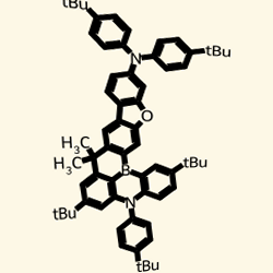 CC(C)(C)c1ccc(N(c2ccc(C(C)(C)C)cc2)c2ccc3c(c2)oc2cc4c(cc23)C(C)(C)c2cc(C(C)(C)C)cc3c2B4c2cc(C(C)(C)C)ccc2N3c2ccc(C(C)(C)C)cc2)cc1